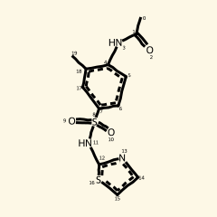 CC(=O)Nc1ccc(S(=O)(=O)Nc2nccs2)cc1C